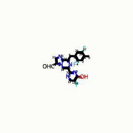 Cc1cc(F)c(Cc2nc(-c3ncc(F)c(O)n3)cn3c(C=O)cnc23)cc1F